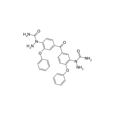 NC(=O)N(N)c1ccc(C(=O)c2ccc(Oc3ccccc3)c(N(N)C(N)=O)c2)cc1Oc1ccccc1